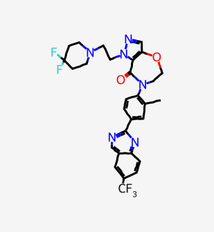 Cc1cc(-c2ncc3cc(C(F)(F)F)ccc3n2)ccc1N1CCOc2cnn(CCN3CCC(F)(F)CC3)c2C1=O